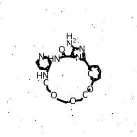 Nc1ncc2nc1C(=O)Nc1cnccc1NCCOCCOCCOc1cccc-2c1